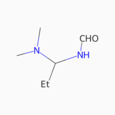 [CH2]CC(NC=O)N(C)C